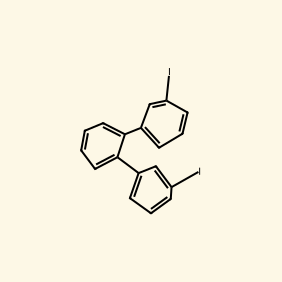 Ic1cccc(-c2ccccc2-c2cccc(I)c2)c1